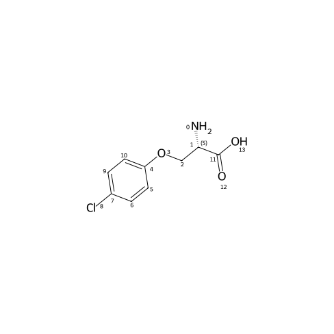 N[C@@H](COc1ccc(Cl)cc1)C(=O)O